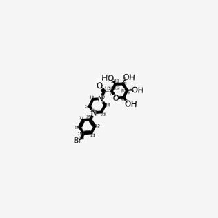 O=C([C@H]1OC(O)[C@H](O)[C@@H](O)[C@@H]1O)N1CCN(c2ccc(Br)cc2)CC1